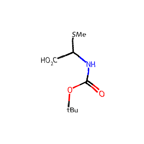 CSC(NC(=O)OC(C)(C)C)C(=O)O